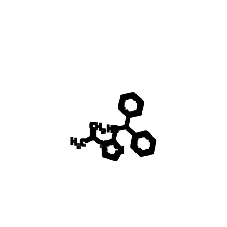 C=C(C)n1ccnc1BC(c1ccccc1)c1ccccc1